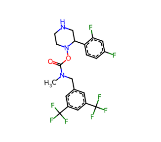 CN(Cc1cc(C(F)(F)F)cc(C(F)(F)F)c1)C(=O)ON1CCNCC1c1ccc(F)cc1F